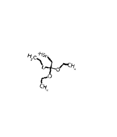 CCOC([CH2][SnH])(OCC)OCC